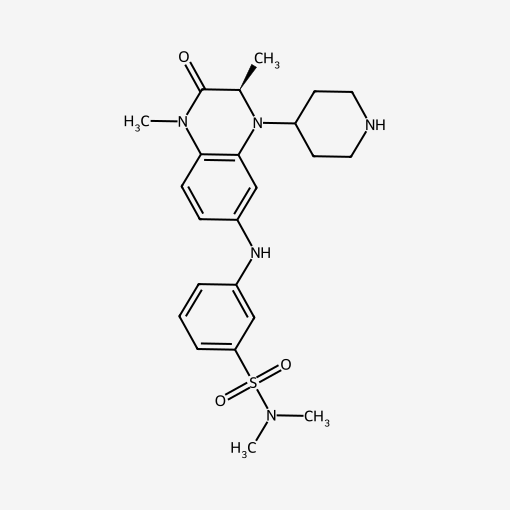 C[C@@H]1C(=O)N(C)c2ccc(Nc3cccc(S(=O)(=O)N(C)C)c3)cc2N1C1CCNCC1